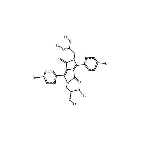 CCOC(CN1C(=O)C2=C(c3ccc(Br)cc3)N(CC(OCC)OCC)C(=O)C2=C1c1ccc(Br)cc1)OCC